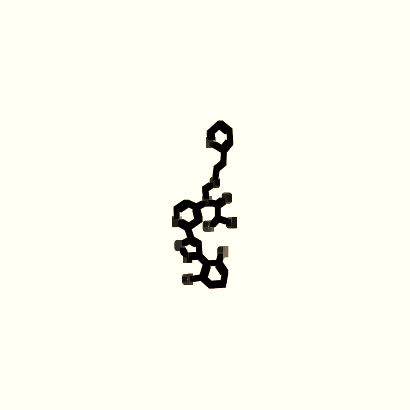 O=C(C(Cl)Cl)N(COCCc1ccccn1)c1ccnc(-c2cc(-c3c(Cl)cccc3Cl)no2)c1